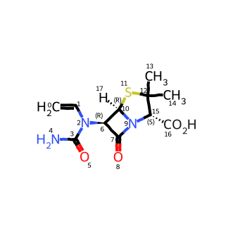 C=CN(C(N)=O)[C@@H]1C(=O)N2[C@@H]1SC(C)(C)[C@@H]2C(=O)O